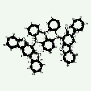 c1ccc2c(c1)B1c3ccccc3N(c3c4oc5ccccc5c4cc4c3oc3ccccc34)c3cccc(c31)N2c1c2oc3ccccc3c2cc2c1oc1ccccc12